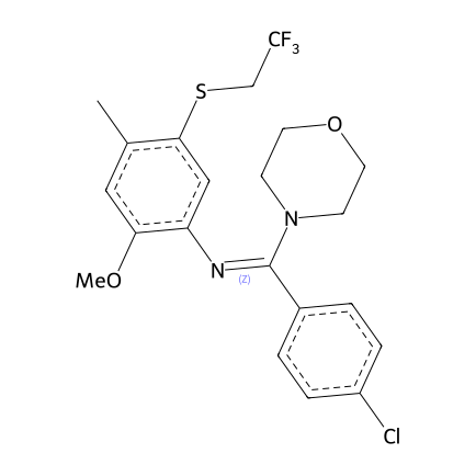 COc1cc(C)c(SCC(F)(F)F)cc1/N=C(/c1ccc(Cl)cc1)N1CCOCC1